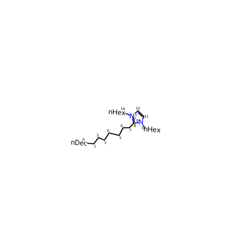 CCCCCCCCCCCCCCCCCc1n(CCCCCC)cc[n+]1CCCCCC